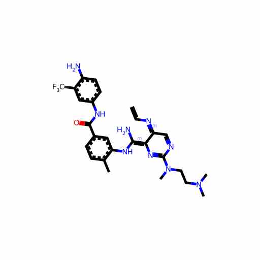 C=C/N=C1/C=NC(N(C)CCN(C)C)=N/C1=C(/N)Nc1cc(C(=O)Nc2ccc(N)c(C(F)(F)F)c2)ccc1C